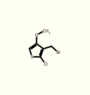 COc1csc(Cl)c1CBr